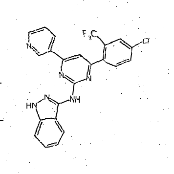 FC(F)(F)c1cc(Cl)ccc1-c1cc(-c2cccnc2)nc(Nc2n[nH]c3ccccc23)n1